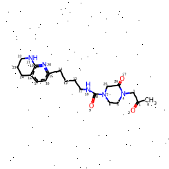 CC(=O)CN1CCN(C(=O)NCCCCc2ccc3c(n2)NCCC3)CC1=O